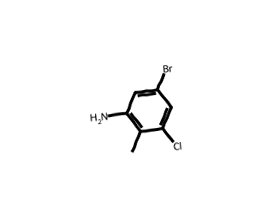 Cc1c(N)cc(Br)cc1Cl